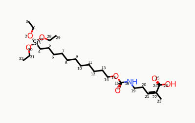 CCO[Si](CCCCCCCCCCCOC(=O)NCCC=C(C)C(=O)O)(OCC)OCC